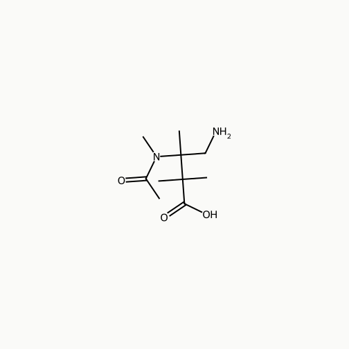 CC(=O)N(C)C(C)(CN)C(C)(C)C(=O)O